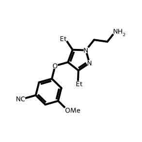 CCc1nn(CCN)c(CC)c1Oc1cc(C#N)cc(OC)c1